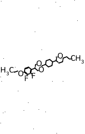 CCCOc1ccc(C2COC(C3CCC(C4CCC(CCC)OC4)CC3)OC2)c(F)c1F